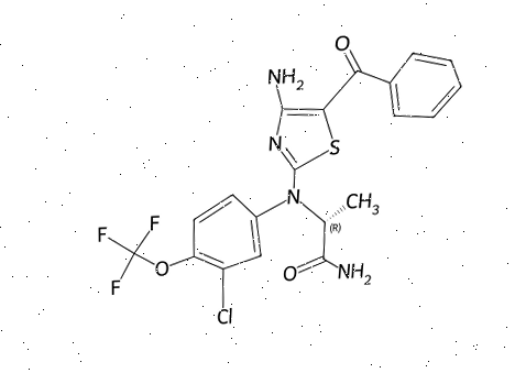 C[C@H](C(N)=O)N(c1ccc(OC(F)(F)F)c(Cl)c1)c1nc(N)c(C(=O)c2ccccc2)s1